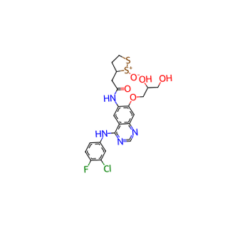 O=C(CC1CCS[S+]1[O-])Nc1cc2c(Nc3ccc(F)c(Cl)c3)ncnc2cc1OCC(O)CO